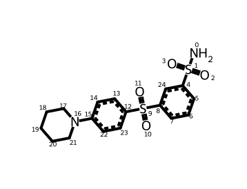 NS(=O)(=O)c1cccc(S(=O)(=O)c2ccc(N3CCCCC3)cc2)c1